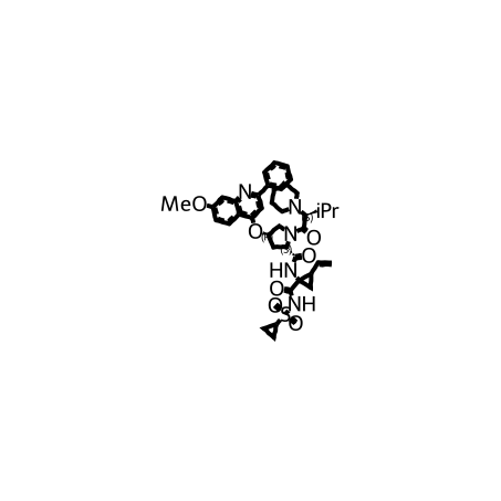 C=CC1CC1(NC(=O)[C@@H]1C[C@@H](Oc2cc(-c3ccccc3)nc3cc(OC)ccc23)CN1C(=O)[C@H](C(C)C)N1CCCCC1)C(=O)NS(=O)(=O)C1CC1